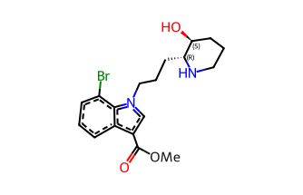 COC(=O)c1cn(CCC[C@H]2NCCC[C@@H]2O)c2c(Br)cccc12